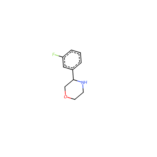 Fc1cccc(C2COCCN2)c1